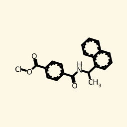 CC(NC(=O)c1ccc(C(=O)OCl)cc1)c1cccc2ccccc12